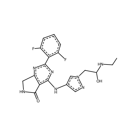 CCNC(O)Cn1cc(Nc2nc(-c3c(F)cccc3F)nc3c2C(=O)NC3)cn1